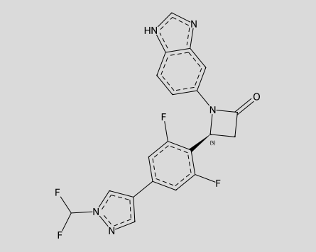 O=C1C[C@@H](c2c(F)cc(-c3cnn(C(F)F)c3)cc2F)N1c1ccc2[nH]cnc2c1